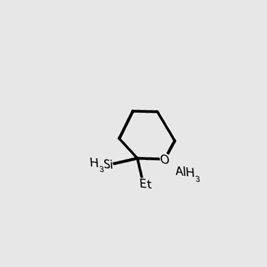 CCC1([SiH3])CCCCO1.[AlH3]